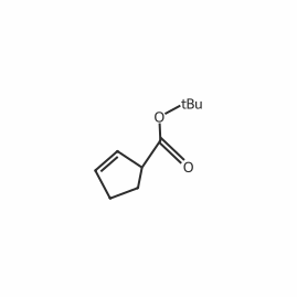 CC(C)(C)OC(=O)C1C=CCC1